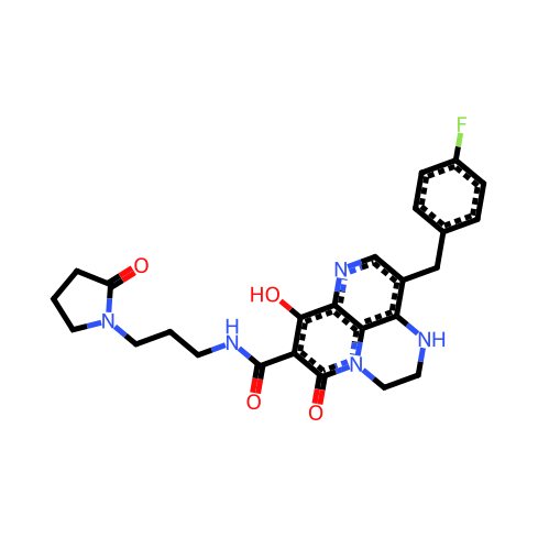 O=C(NCCCN1CCCC1=O)c1c(O)c2ncc(Cc3ccc(F)cc3)c3c2n(c1=O)CCN3